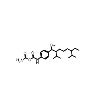 CCC(CCCC(C(C)C)C(O)c1ccc(NC(=O)OC(N)=O)cc1)C(C)C